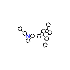 c1ccc(-c2ccc(-n3c4ccccc4c4cc(-c5ccc6c(c5)-c5ccc7c(c5C6c5cccc(-c6ccccc6)c5)-c5ccccc5C7c5ccccc5)ccc43)cc2)cc1